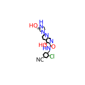 N#Cc1ccc(CNC(=O)c2ncc3nc(N4CCN[C@@H](CO)C4)ccc3c2O)c(Cl)c1